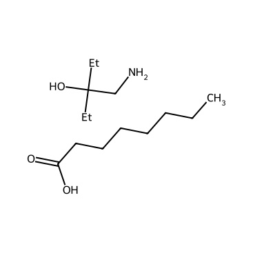 CCC(O)(CC)CN.CCCCCCCC(=O)O